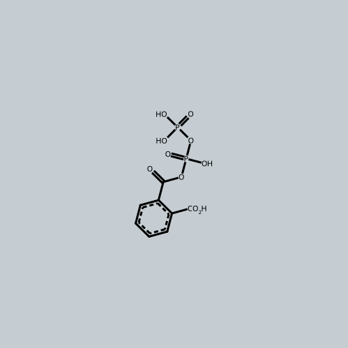 O=C(O)c1ccccc1C(=O)OP(=O)(O)OP(=O)(O)O